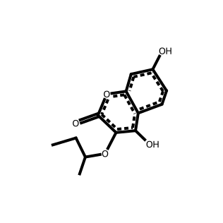 CCC(C)Oc1c(O)c2ccc(O)cc2oc1=O